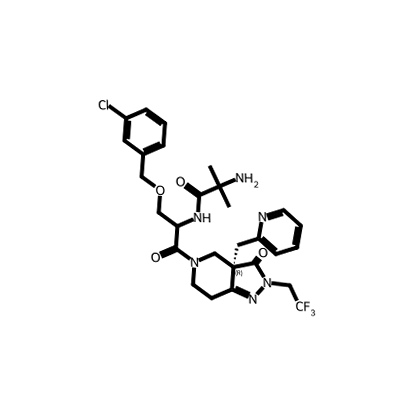 CC(C)(N)C(=O)NC(COCc1cccc(Cl)c1)C(=O)N1CCC2=NN(CC(F)(F)F)C(=O)[C@]2(Cc2ccccn2)C1